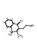 CC1=C(CCC(C)C)C(=O)c2ccccc2C1=O